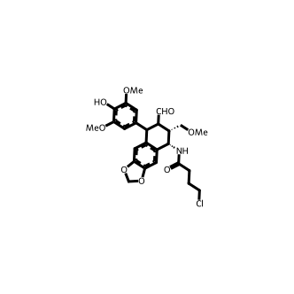 COC[C@H]1C(C=O)C(c2cc(OC)c(O)c(OC)c2)c2cc3c(cc2[C@H]1NC(=O)CCCCl)OCO3